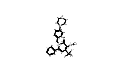 [C-]#[N+]c1c(C(F)(F)F)cc(-c2ccccc2)n(Cc2ccc(N3CCOCC3)cc2)c1=O